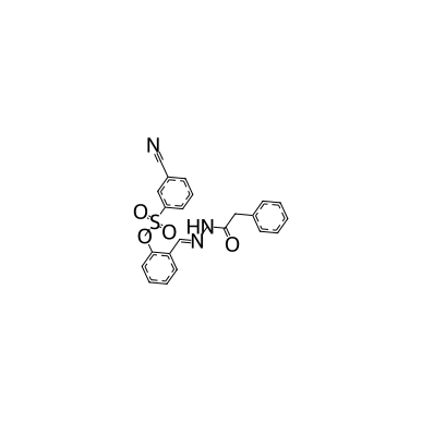 N#Cc1cccc(S(=O)(=O)Oc2ccccc2C=NNC(=O)Cc2ccccc2)c1